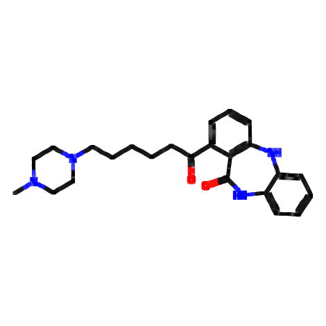 CN1CCN(CCCCCC(=O)c2cccc3c2C(=O)Nc2ccccc2N3)CC1